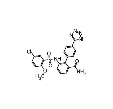 COc1ccc(Cl)cc1S(=O)(=O)Nc1cccc(C(N)=O)c1-c1ccc(-c2nnn[nH]2)cc1